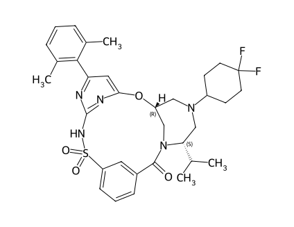 Cc1cccc(C)c1-c1cc2nc(n1)NS(=O)(=O)c1cccc(c1)C(=O)N1C[C@@H](CN(C3CCC(F)(F)CC3)C[C@@H]1C(C)C)O2